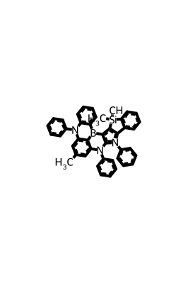 Cc1cc2c3c(c1)N(c1ccccc1)c1c(c4c(n1-c1ccccc1)-c1ccccc1[Si]4(C)C)B3c1ccccc1N2c1ccccc1